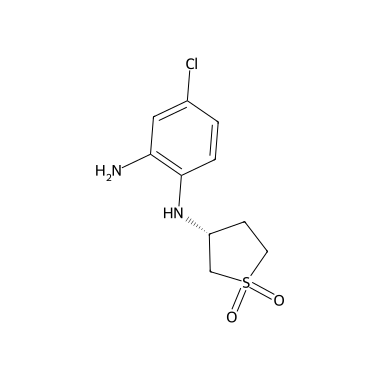 Nc1cc(Cl)ccc1N[C@@H]1CCS(=O)(=O)C1